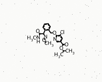 CNC(=O)C(=NOC)c1ccccc1COc1ncc(C(=O)OC(C)C)cc1Cl